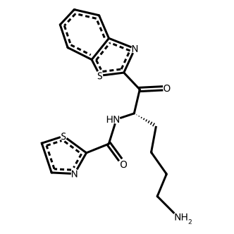 NCCCC[C@H](NC(=O)c1nccs1)C(=O)c1nc2ccccc2s1